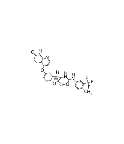 Cc1ccc(NC(=O)NC2[C@@H]3C4CC(Oc5ccnc6c5CCC(=O)N6)=CC=C4OC23C)cc1C(F)(F)F